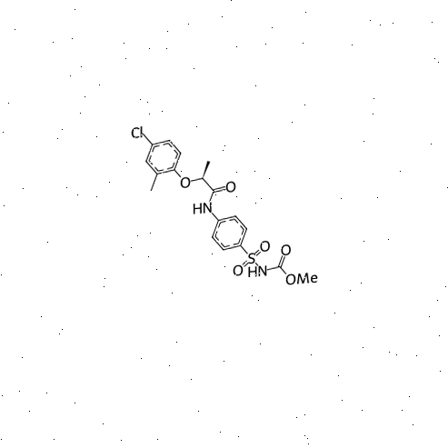 COC(=O)NS(=O)(=O)c1ccc(NC(=O)[C@H](C)Oc2ccc(Cl)cc2C)cc1